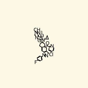 Cn1cnc(S(=O)(=O)N(C2CC2)[C@H]2CCC3=Cc4c(cnn4-c4ccc(F)cc4)C[C@]3(C(=O)c3cc(Cl)ccn3)C2)n1